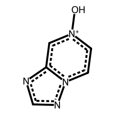 O[n+]1ccn2ncnc2c1